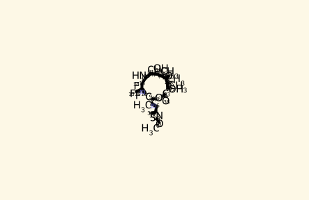 COc1nc(/C=C(\C)[C@@H]2C/C=C(/C(F)(F)F)CC3NC3[C@H](C)[C@H](O)[C@@H](C)C(=O)C(C)(C)[C@@H](O)CC(=O)O2)cs1